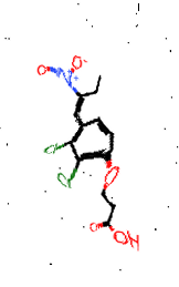 CC/C(=C\c1ccc(OCCC(=O)O)c(Cl)c1Cl)[N+](=O)[O-]